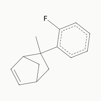 CC1(c2ccccc2F)CC2C=CC1C2